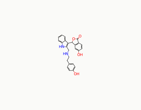 O=C1OC(c2c(CNCCc3ccc(O)cc3)[nH]c3ccccc23)c2cc(O)ccc21